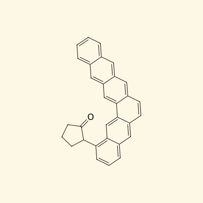 O=C1CCCC1c1cccc2cc3ccc4cc5cc6ccccc6cc5cc4c3cc12